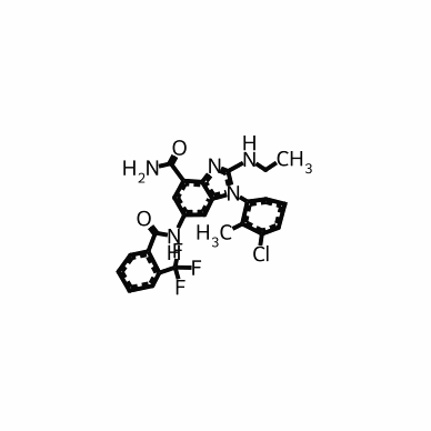 CCNc1nc2c(C(N)=O)cc(NC(=O)c3ccccc3C(F)(F)F)cc2n1-c1cccc(Cl)c1C